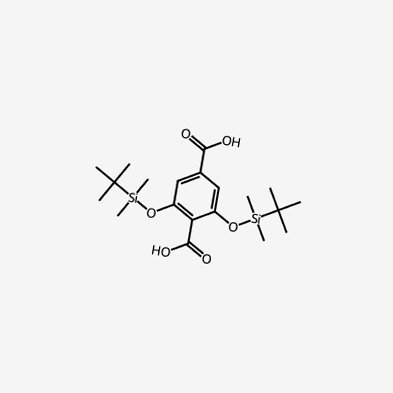 CC(C)(C)[Si](C)(C)Oc1cc(C(=O)O)cc(O[Si](C)(C)C(C)(C)C)c1C(=O)O